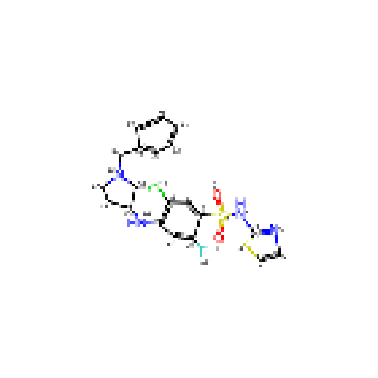 O=S(=O)(Nc1nccs1)c1cc(Cl)c(N[C@H]2CCN(Cc3ccccc3)C2)cc1F